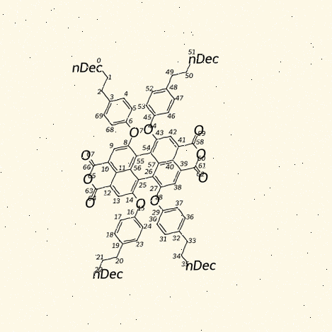 CCCCCCCCCCCCc1ccc(Oc2cc3c4c(cc(Oc5ccc(CCCCCCCCCCCC)cc5)c5c6c(Oc7ccc(CCCCCCCCCCCC)cc7)cc7c8c(cc(Oc9ccc(CCCCCCCCCCCC)cc9)c(c2c45)c86)C(=O)OC7=O)C(=O)OC3=O)cc1